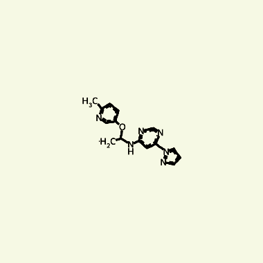 [CH2]C(Nc1cc(-n2cccn2)ncn1)Oc1ccc(C)nc1